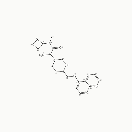 CN(C(=O)C(N)C1CCC(COc2cccc3ccccc23)CC1)C1CCC1